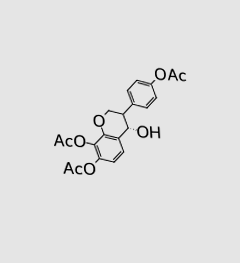 CC(=O)Oc1ccc(C2COc3c(ccc(OC(C)=O)c3OC(C)=O)[C@H]2O)cc1